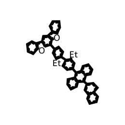 CCc1cc(-c2c3ccccc3c(-c3ccc4ccccc4c3)c3ccccc23)ccc1-c1ccc(-c2c3oc4ccccc4c3cc3c2oc2ccccc23)cc1CC